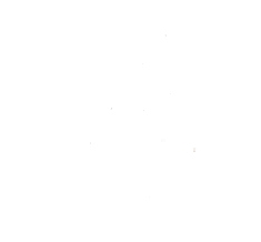 COc1ccc(C(C)C=O)c(Br)c1OC